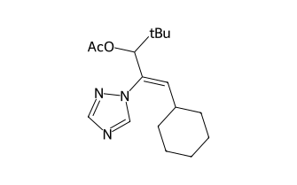 CC(=O)OC(/C(=C/C1CCCCC1)n1cncn1)C(C)(C)C